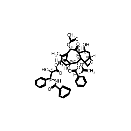 C=C(C)O[C@@]12CO[C@@H]1C[C@H](O)[C@@]1(C)C(=O)[C@H](OC(C)=O)C3=C(C)[C@@H](OC(=O)[C@H](O)[C@@H](NC(=O)c4ccccc4)c4ccccc4)C[C@@](O)([C@@H](OC(=O)c4ccccc4)[C@H]21)C3(C)C